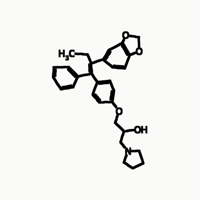 CCC(=C(c1ccccc1)c1ccc(OCC(O)CN2CCCC2)cc1)c1ccc2c(c1)OCO2